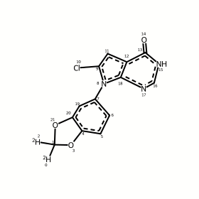 [2H]C1([2H])Oc2ccc(-n3c(Cl)cc4c(=O)[nH]cnc43)cc2O1